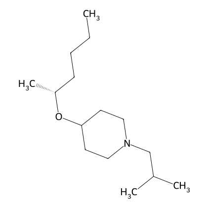 CCCC[C@@H](C)OC1CCN(CC(C)C)CC1